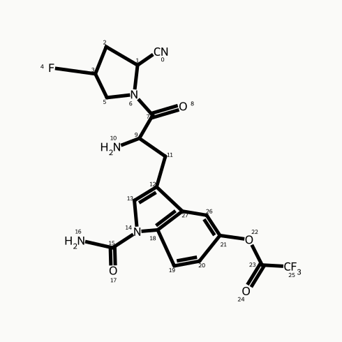 N#CC1CC(F)CN1C(=O)C(N)Cc1cn(C(N)=O)c2ccc(OC(=O)C(F)(F)F)cc12